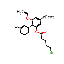 C=COc1cc(CCCCC)cc(OC(=O)CCCCBr)c1[C@@H]1C=C(C)CCC1